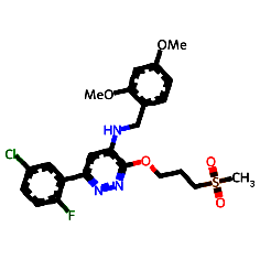 COc1ccc(CNc2cc(-c3cc(Cl)ccc3F)nnc2OCCCS(C)(=O)=O)c(OC)c1